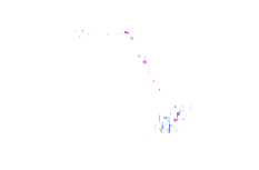 COCCOCCOC(=O)NCCCCCCNC(=O)OCCOCCOc1ccc(CCCCNC(=N)NC(=O)c2nc(Cl)c(N)nc2N)cc1